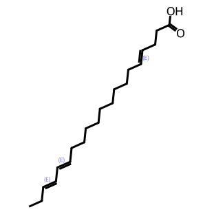 CC/C=C/C=C/CCCCCCCCC/C=C/CCC(=O)O